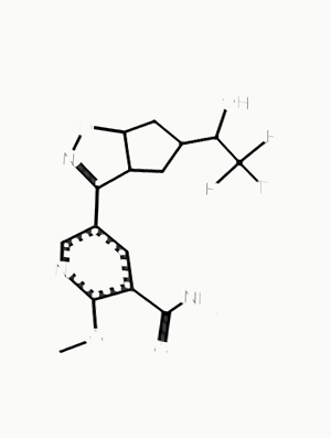 COc1ncc(C2=NOC3CC(C(O)C(F)(F)F)CC23)cc1C(N)=O